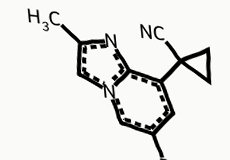 Cc1cn2cc(Br)cc(C3(C#N)CC3)c2n1